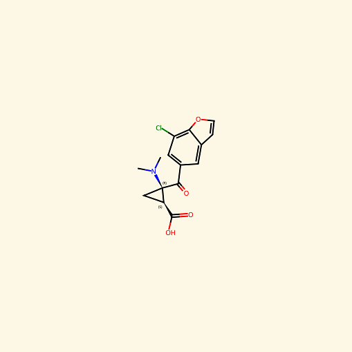 CN(C)[C@]1(C(=O)c2cc(Cl)c3occc3c2)C[C@@H]1C(=O)O